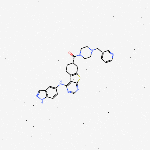 O=C(C1CCc2c(sc3ncnc(Nc4ccc5[nH]ncc5c4)c23)C1)N1CCN(Cc2cccnc2)CC1